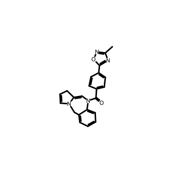 Cc1noc(-c2ccc(C(=O)N3C=C4CC=CN4Cc4ccccc43)cc2)n1